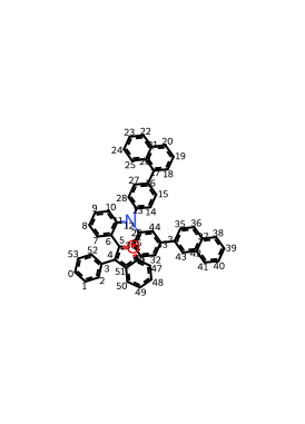 c1ccc(-c2c(-c3ccccc3N(c3ccc(-c4cccc5ccccc45)cc3)c3cccc(-c4ccc5ccccc5c4)c3)oc3ccccc23)cc1